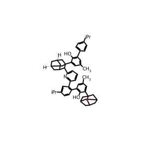 Cc1cc(-c2ccc(C(C)C)cc2-c2cccc(C3C4C[C@H]5C[C@H](C4)CC3(c3cc(C)cc(-c4ccc(C(C)C)cc4)c3O)C5)n2)c(O)c(C23CC4CC(CC(C4)C2)C3)c1